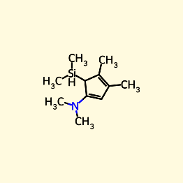 CC1=C(C)C([SiH](C)C)C(N(C)C)=C1